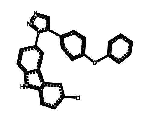 Clc1ccc2[nH]c3ccc(-n4nncc4-c4ccc(Oc5ccccc5)cc4)cc3c2c1